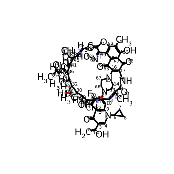 C=C(O)c1cn(C2CC2)c2cc(N3CCN(C4=C5NC(=O)/C(C)=C\C=C\[C@H](C)[C@H](O)[C@@H](C)[C@@H](O)[C@@H](C)[C@H](OC(C)=O)[C@H](C)[C@@H](OC)/C=C/O[C@@]6(C)Oc7c(C)c(O)c(c(c7/C6=N/O)C4=O)C5=O)CC3)c(F)cc2c1=O